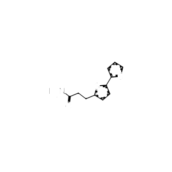 NC(=O)CCc1ccc(-c2cccs2)s1